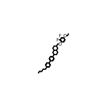 C/C=C/CCc1ccc(-c2ccc(C3CCC4CC(COc5ccc(OCC)c(F)c5F)CCC4C3)cc2)cc1